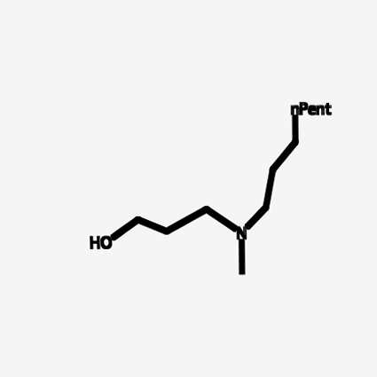 CCCCCCCCN(C)CCCO